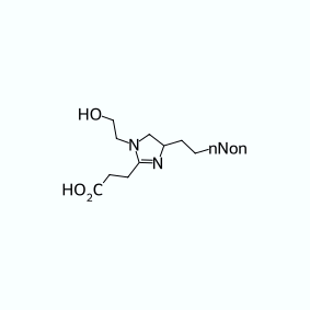 CCCCCCCCCCCC1CN(CCO)C(CCC(=O)O)=N1